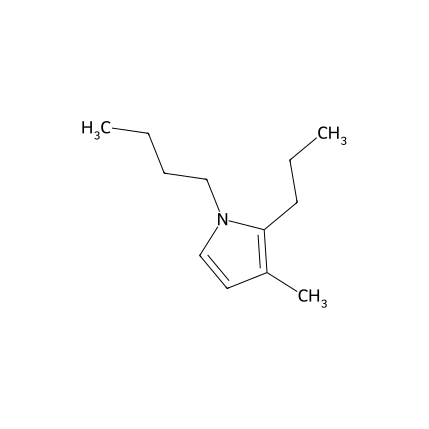 CCCCn1ccc(C)c1CCC